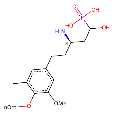 CCCCCCCCOc1c(C)cc(CC[C@@H](N)CC(O)P(=O)(O)O)cc1OC